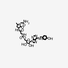 CC1CC(NC(=O)CNC(=O)OCC2OC(n3cnc4c(NCc5ccc(O)cc5)ncnc43)C(O)C2O)C(=O)N1CC(N)=O